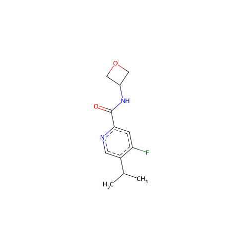 CC(C)c1cnc(C(=O)NC2COC2)cc1F